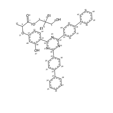 CCC(CC)(CO)COC(=O)C(C)Oc1ccc(-c2nc(-c3ccc(-c4ccccc4)cc3)nc(-c3ccc(-c4ccccc4)cc3)n2)c(O)c1